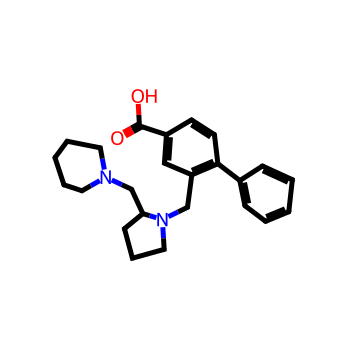 O=C(O)c1ccc(-c2ccccc2)c(CN2CCCC2CN2CCCCC2)c1